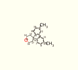 Cc1ccc(C2(c3ccc(C)cc3)CCOCC2)cc1